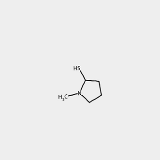 CN1CCCC1S